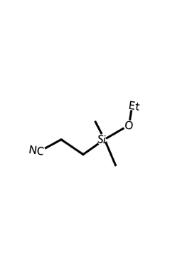 CCO[Si](C)(C)CCC#N